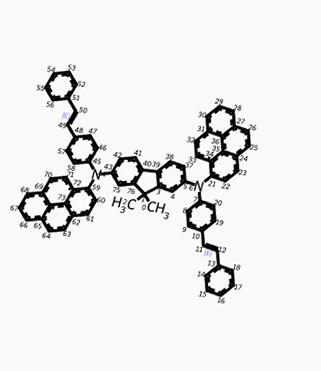 CC1(C)c2cc(N(c3ccc(/C=C/c4ccccc4)cc3)c3ccc4ccc5cccc6ccc3c4c56)ccc2-c2ccc(N(c3ccc(/C=C/c4ccccc4)cc3)c3ccc4ccc5cccc6ccc3c4c56)cc21